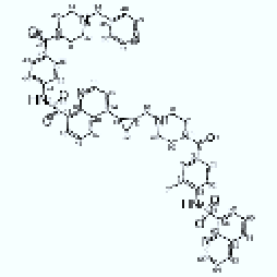 Cc1cc(C(=O)N2CCN(CC3CC3c3ccnc4c(S(=O)(=O)Nc5ccc(C(=O)N6CCN(Cc7ccncc7)CC6)cc5)cccc34)CC2)ccc1NS(=O)(=O)c1cccc2cccnc12